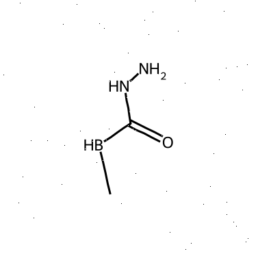 CBC(=O)NN